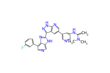 C=C(Nc1cncc(-c2cnc3[nH]nc(-c4nc5c(-c6cccc(F)c6)cncc5[nH]4)c3c2)c1)N(C)C